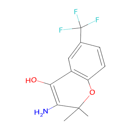 CC1(C)Oc2ccc(C(F)(F)F)cc2C(O)=C1N